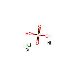 Cl.O=S(=O)(O)O.[Ni].[Ni]